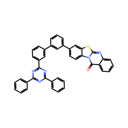 O=c1c2ccccc2nc2sc3cc(-c4cccc(-c5cccc(-c6nc(-c7ccccc7)nc(-c7ccccc7)n6)c5)c4)ccc3n12